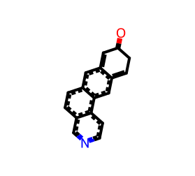 O=C1C=c2cc3ccc4cnccc4c3cc2=CC1